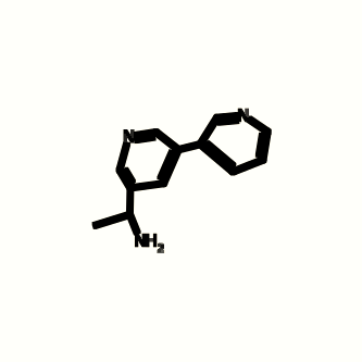 CC(N)c1cncc(-c2cccnc2)c1